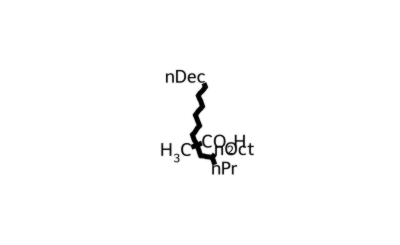 CCCCCCCCCCCCCCCCC(C)(CC(CCC)CCCCCCCC)C(=O)O